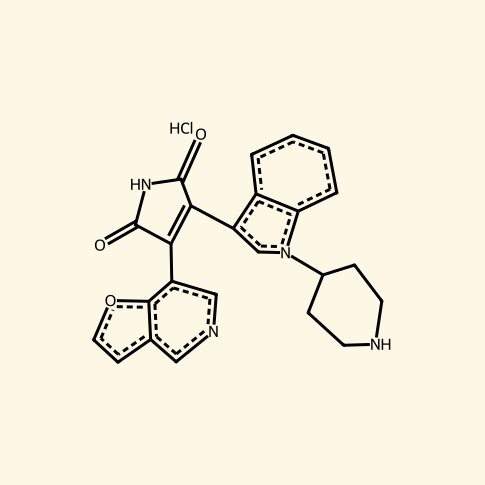 Cl.O=C1NC(=O)C(c2cncc3ccoc23)=C1c1cn(C2CCNCC2)c2ccccc12